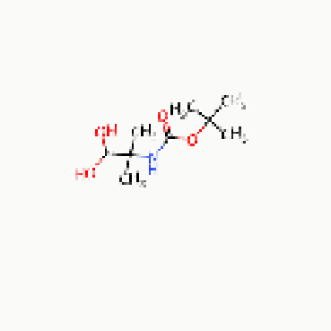 CC(C)(C)OC(=O)NC(C)(C)C(O)O